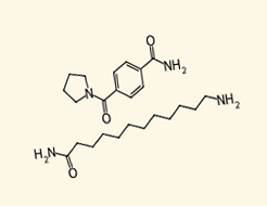 NC(=O)c1ccc(C(=O)N2CCCC2)cc1.NCCCCCCCCCCCC(N)=O